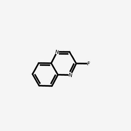 Fc1cnc2ccccc2n1